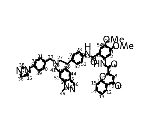 COc1cc(NC(=O)c2cc(=O)c3ccccc3o2)c(C(=O)Nc2ccc(CCN(Cc3ccc(-n4ccnc4)cc3)Cc3ccc4cnn(C)c4c3)cc2)cc1OC